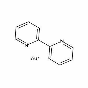 [Au+].c1ccc(-c2ccccn2)nc1